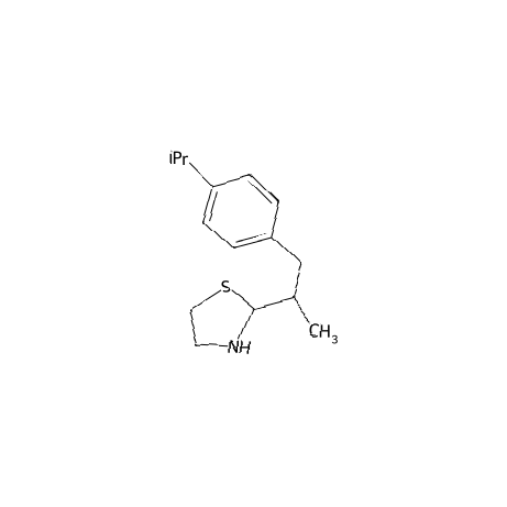 CC(C)c1ccc(CC(C)C2NCCS2)cc1